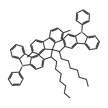 CCCCCCCC(c1ccc2c(c1)c1ccccc1n2-c1ccccc1)C1(C(CCCCCCC)c2ccc3c(c2)c2ccccc2n3-c2ccccc2)c2cc(C)ccc2-c2ccc(C)cc21